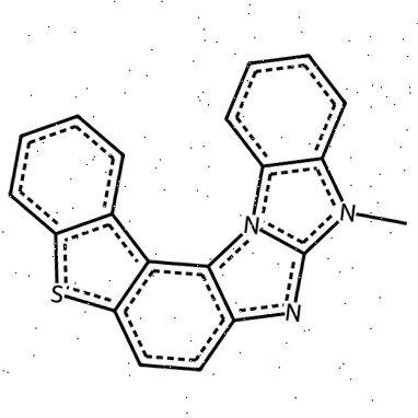 Cn1c2ccccc2n2c3c(ccc4sc5ccccc5c43)nc12